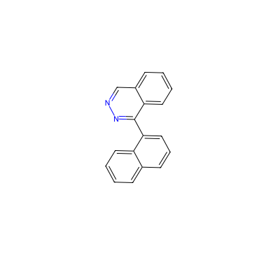 c1ccc2c(-c3nncc4ccccc34)cccc2c1